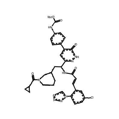 COC(=O)Nc1ccc(-c2cc(C(CC3CCCN(C(=O)C4CC4)C3)NC(=O)/C=C/c3cc(Cl)ccc3-n3cnnn3)n[nH]c2=O)cc1